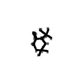 CC1(C)COC(=O)N(C(C)(C)C)C1